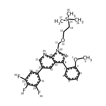 COc1ccccc1-c1nn(COCC[Si](C)(C)C)c2ncc(-c3cc(F)c(F)c(F)c3)cc12